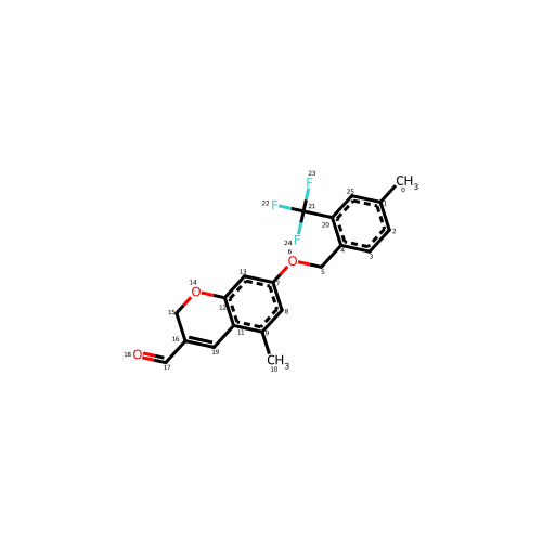 Cc1ccc(COc2cc(C)c3c(c2)OCC(C=O)=C3)c(C(F)(F)F)c1